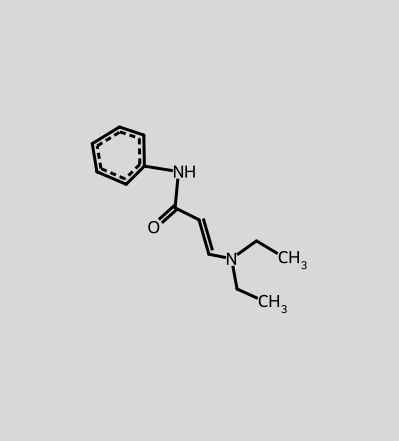 CCN(C=CC(=O)Nc1ccccc1)CC